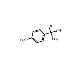 Cc1ccc(C(C)(O)C#N)cc1